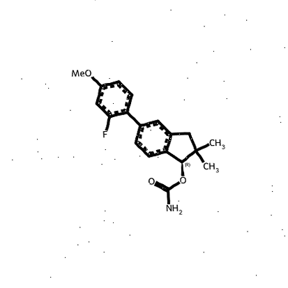 COc1ccc(-c2ccc3c(c2)CC(C)(C)[C@H]3OC(N)=O)c(F)c1